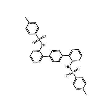 Cc1ccc(S(=O)(=O)Nc2ccccc2-c2ccc(-c3ccccc3NS(=O)(=O)c3ccc(C)cc3)cc2)cc1